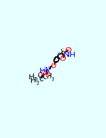 CC(C)(C)OC(=O)NCCOc1ccc(/C=C2/SC(=O)NC2=O)cc1